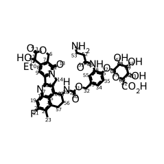 CC[C@@]1(O)C(=O)OCc2c1cc1n(c2=O)Cc2c-1nc1cc(F)c(C)c3c1c2[C@@H](NC(=O)OCc1ccc(O[C@@H]2O[C@H](C(=O)O)[C@@H](O)[C@H](O)[C@H]2O)c(NC(=O)CCN)c1)CC3